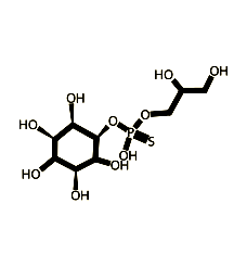 OCC(O)COP(O)(=S)O[C@H]1C(O)[C@@H](O)C(O)[C@@H](O)[C@H]1O